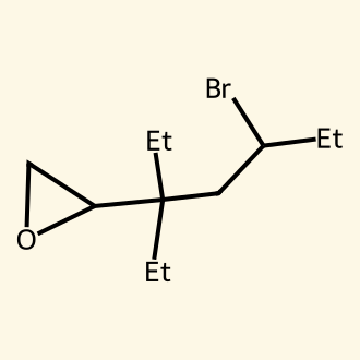 CCC(Br)CC(CC)(CC)C1CO1